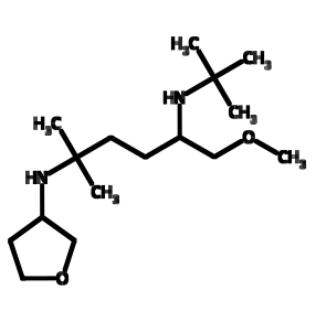 COCC(CCC(C)(C)NC1CCOC1)NC(C)(C)C